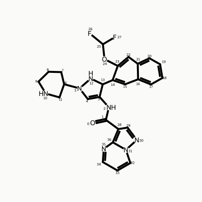 O=C(NC1=CN(C2CCCNC2)NC1c1cc2ccccc2cc1OC(F)F)c1cnn2cccnc12